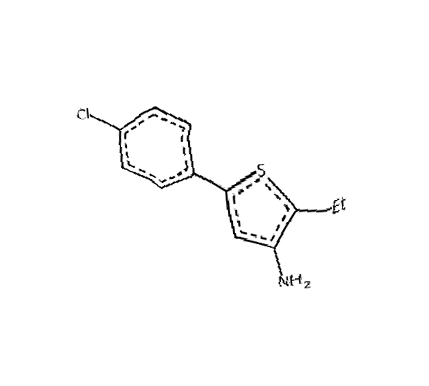 CCc1sc(-c2ccc(Cl)cc2)cc1N